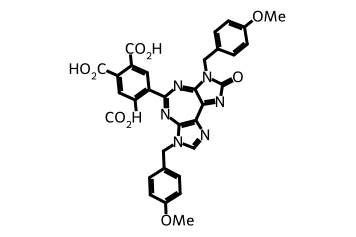 COc1ccc(Cn2c3nc(-c4cc(C(=O)O)c(C(=O)O)cc4C(=O)O)nc4c(ncn4Cc4ccc(OC)cc4)c-3nc2=O)cc1